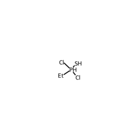 CC[PH](S)(Cl)Cl